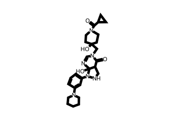 O=C1C2CNN(c3cccc(N4CCCCC4)c3)C2(O)N=CN1CC1(O)CCN(C(=O)C2CC2)CC1